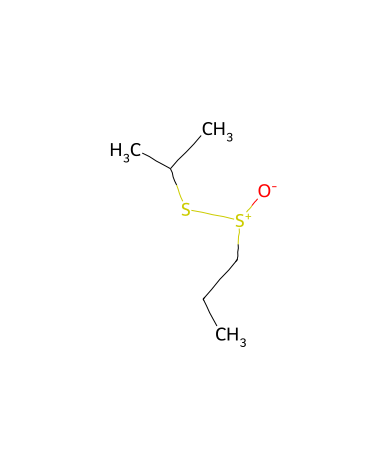 CCC[S+]([O-])SC(C)C